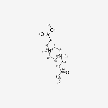 COC(=O)CC[N+]1(C)CC[N+](C)(CCC(=O)OC)CC1